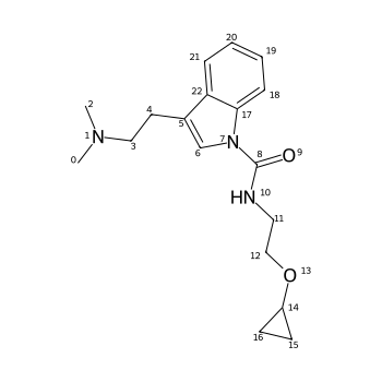 CN(C)CCc1cn(C(=O)NCCOC2CC2)c2ccccc12